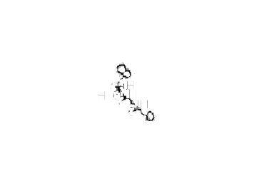 C[C@H](NC(=O)CCNC(=O)CCc1ccccc1)C(=O)NCc1cccc2ccccc12